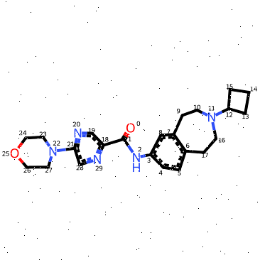 O=C(Nc1ccc2c(c1)CCN(C1CCC1)CC2)c1cnc(N2CCOCC2)cn1